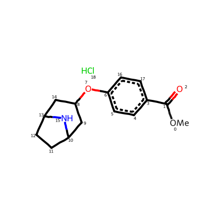 COC(=O)c1ccc(OC2CC3CCC(C2)N3)cc1.Cl